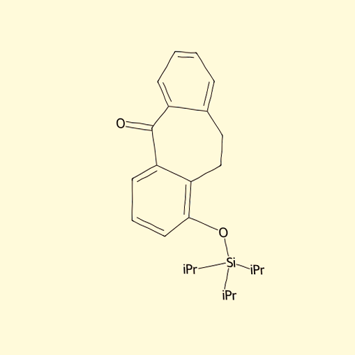 CC(C)[Si](Oc1cccc2c1CCc1ccccc1C2=O)(C(C)C)C(C)C